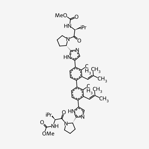 COC(=O)N[C@H](C(=O)N1CCC[C@H]1c1ncc(-c2ccc(-c3ccc(-c4cnc([C@@H]5CCCN5C(=O)[C@@H](NC(=O)OC)C(C)C)[nH]4)c(C=C(C)C)c3C)c(C=C(C)C)c2C)[nH]1)C(C)C